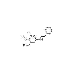 CCOC(OCC)C(CC(=O)NCCc1ccccc1)CC(C)C